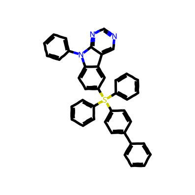 c1ccc(-c2ccc(S(c3ccccc3)(c3ccccc3)c3ccc4c(c3)c3cncnc3n4-c3ccccc3)cc2)cc1